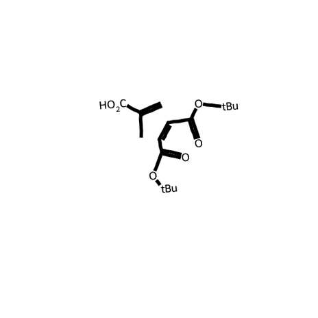 C=C(C)C(=O)O.CC(C)(C)OC(=O)/C=C\C(=O)OC(C)(C)C